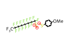 COc1ccc(SOS(=O)(=O)C(F)(F)C(F)(F)C(F)(F)C(F)(F)C(F)(F)C(F)(F)C(F)(F)C(F)(F)F)cc1